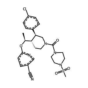 C[C@H](Oc1ccc(C#N)cn1)[C@H]1CCN(C(=O)N2CCN(S(C)(=O)=O)CC2)C[C@@H]1c1ccc(Cl)cc1